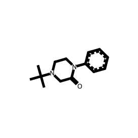 CC(C)(C)N1CCN(c2ccccc2)C(=O)C1